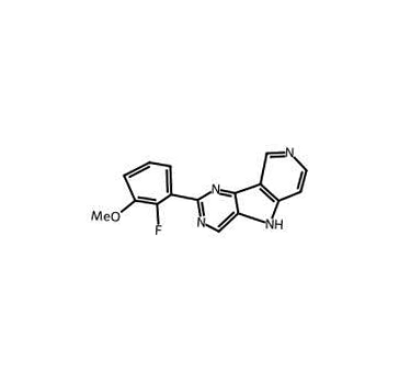 COc1cccc(-c2ncc3[nH]c4ccncc4c3n2)c1F